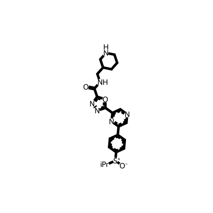 CC(C)[S+]([O-])c1ccc(-c2cncc(-c3nnc(C(=O)NCC4CCCNC4)o3)n2)cc1